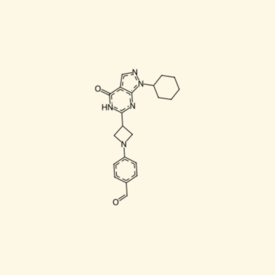 O=Cc1ccc(N2CC(c3nc4c(cnn4C4CCCCC4)c(=O)[nH]3)C2)cc1